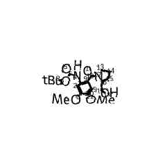 COc1cc(NC(=O)OC(C)(C)C)c(C(=O)N2CCCC2CO)cc1OC